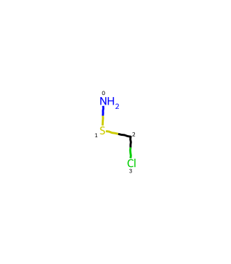 NSCCl